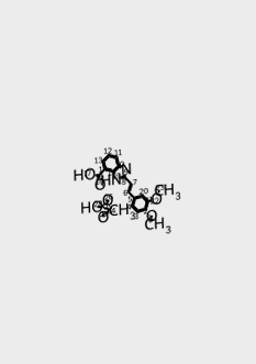 COc1ccc(C=Cc2nc3cccc(C(=O)O)c3[nH]2)cc1OC.CS(=O)(=O)O